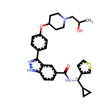 CC(O)CN1CCC(Oc2ccc(-c3n[nH]c4ccc(C(=O)N[C@H](c5ccsc5)C5CC5)cc34)cc2)CC1